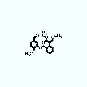 CO/C=C(\C(=O)OC)c1ccccc1COc1cc(C=O)ccc1OC